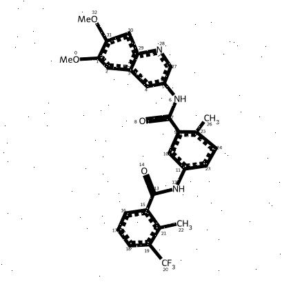 COc1cc2cc(NC(=O)c3cc(NC(=O)c4cccc(C(F)(F)F)c4C)ccc3C)cnc2cc1OC